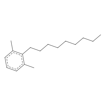 CCCCCCCCCc1c(C)cccc1C